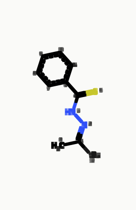 CC(=NNC(=S)c1ccccc1)C(C)(C)C